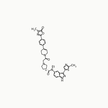 CCN(C(=O)[C@@H]1CCN(CC(=O)N2CC=C(c3ccc(-c4nn(C)c(=O)o4)cc3)CC2)C1)c1ccc2[nH]nc(-c3cnc(C)s3)c2c1